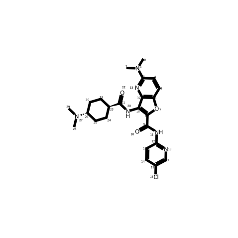 CN(C)c1ccc2oc(C(=O)Nc3ccc(Cl)cn3)c(NC(=O)[C@H]3CC[C@H](N(C)C)CC3)c2n1